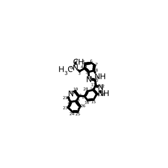 CN(C)Cc1cccc2[nH]c(-c3n[nH]c4ccc(-c5cncc6ccccc56)cc34)nc12